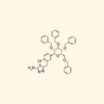 Nc1nnc(Cc2cc([C@@H]3O[C@H](COCc4ccccc4)[C@@H](OCc4ccccc4)[C@H](OCc4ccccc4)[C@H]3OCc3ccccc3)ccc2Cl)s1